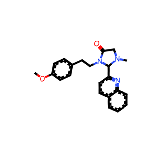 COc1ccc(CCN2C(=O)CN(C)C2c2ccc3ccccc3n2)cc1